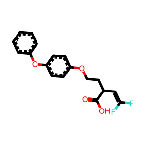 O=C(O)C(C=C(F)F)CCOc1ccc(Oc2ccccc2)cc1